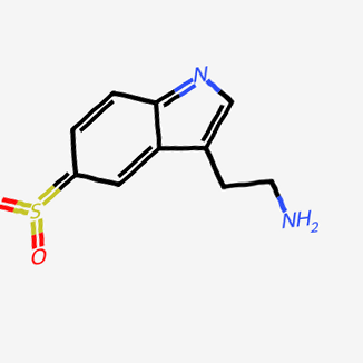 NCCC1=CN=C2C=CC(=S(=O)=O)C=C12